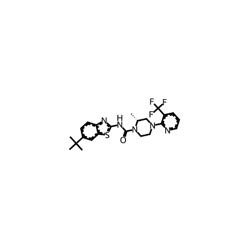 C[C@@H]1CN(c2ncccc2C(F)(F)F)CCN1C(=O)Nc1nc2ccc(C(C)(C)C)cc2s1